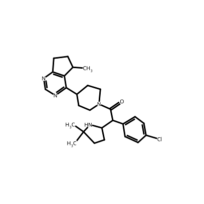 CC1CCc2ncnc(C3CCN(C(=O)C(c4ccc(Cl)cc4)C4CCC(C)(C)N4)CC3)c21